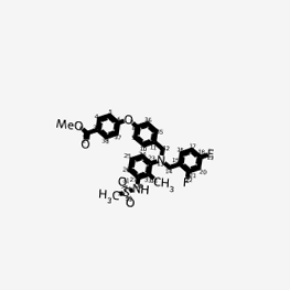 COC(=O)c1ccc(Oc2ccc(CN(Cc3ccc(F)cc3F)c3cccc(NS(C)(=O)=O)c3C)cc2)cc1